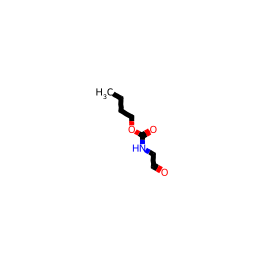 CCCCOC(=O)NCC=O